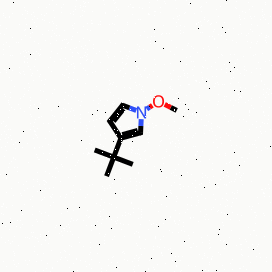 COn1ccc(C(C)(C)C)c1